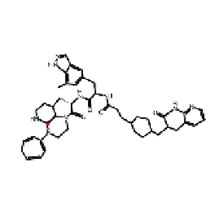 Cc1cc(C[C@@H](NC(=O)CCC2CCC(CC3Cc4cccnc4NC3=O)CC2)C(=O)N[C@@H](CC2CCNCC2)C(=O)N2CCN(C3=CC=CCC=C3)CC2)cc2cn[nH]c12